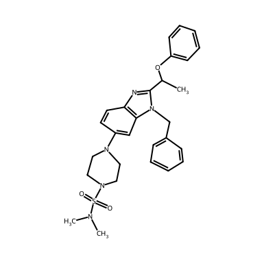 CC(Oc1ccccc1)c1nc2ccc(N3CCN(S(=O)(=O)N(C)C)CC3)cc2n1Cc1ccccc1